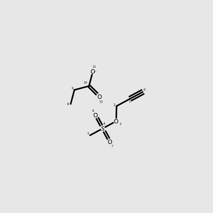 C#CCOS(C)(=O)=O.CCC([O])=O